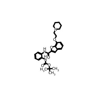 CC(C)(C)OC(=O)Nc1ccccc1NC(=O)c1cc2cccc(OCCN3CCCCC3)c2o1